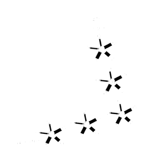 [Bi+3].[Bi+3].[Cu+2].[Cu+2].[O]=[Ru](=[O])(=[O])([O-])[O-].[O]=[Ru](=[O])(=[O])([O-])[O-].[O]=[Ru](=[O])(=[O])([O-])[O-].[O]=[Ru](=[O])(=[O])([O-])[O-].[O]=[Ru](=[O])(=[O])([O-])[O-]